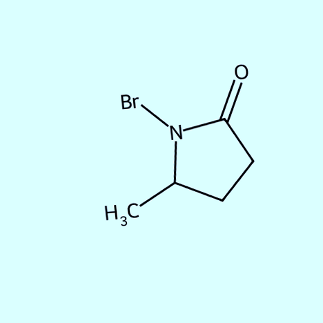 CC1CCC(=O)N1Br